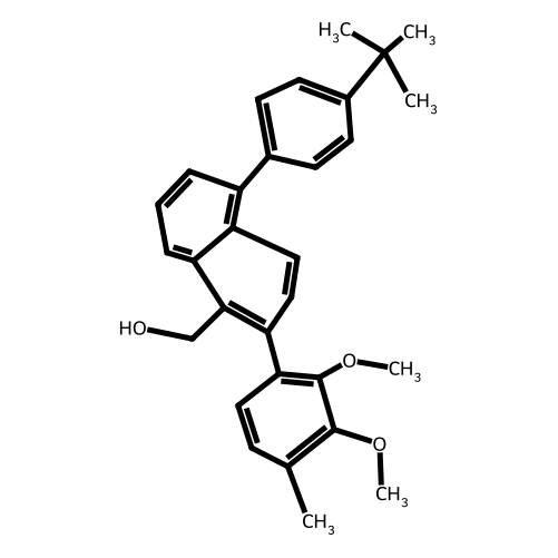 COc1c(C)ccc(-c2ccc3c(-c4ccc(C(C)(C)C)cc4)cccc3c2CO)c1OC